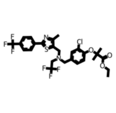 CCOC(=O)C(C)(C)Oc1ccc(CN(Cc2sc(-c3ccc(C(F)(F)F)cc3)nc2C)CC(F)(F)F)cc1Cl